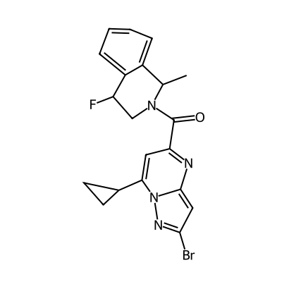 CC1c2ccccc2C(F)CN1C(=O)c1cc(C2CC2)n2nc(Br)cc2n1